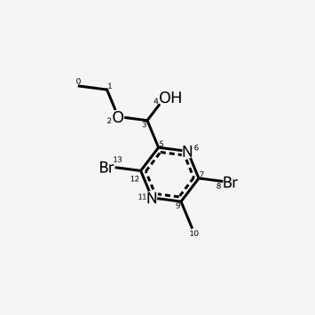 CCOC(O)c1nc(Br)c(C)nc1Br